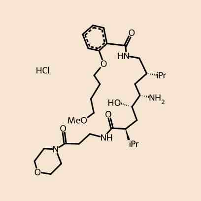 COCCCCOc1ccccc1C(=O)NC[C@@H](C[C@H](N)[C@@H](O)C[C@H](C(=O)NCCC(=O)N1CCOCC1)C(C)C)C(C)C.Cl